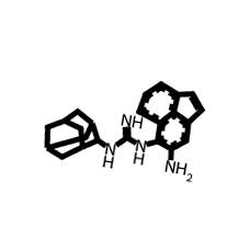 N=C(Nc1c(N)cc2c3c(cccc13)C=C2)NC1C2CC3CC(C2)CC1C3